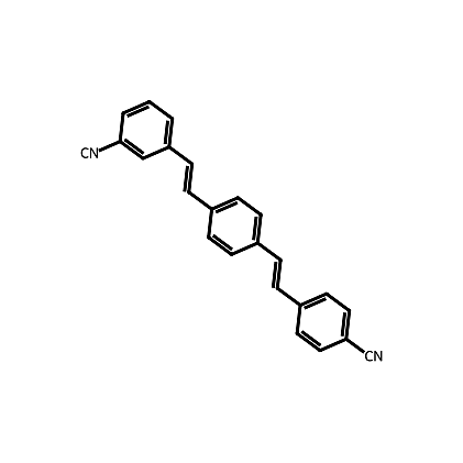 [C-]#[N+]c1cccc(C=Cc2ccc(C=Cc3ccc(C#N)cc3)cc2)c1